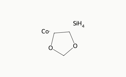 C1COCO1.[Co].[SiH4]